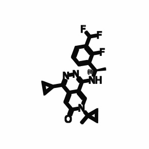 C[C@@H](Nc1nnc(C2CC2)c2cc(=O)n(C3(C)CC3)cc12)c1cccc(C(F)F)c1F